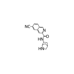 N#Cc1ccc2cnc(C(=O)NC3CC4CNC3C4)cc2c1